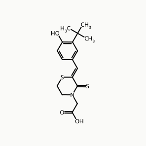 CC(C)(C)c1cc(/C=C2\SCCN(CC(=O)O)C2=S)ccc1O